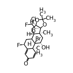 CC1(C)O[C@@H]2C[C@H]3[C@@H]4C[C@H](F)C5=CC(=O)C=C[C@]5(C)[C@@]4(Br)[C@@H](O)C[C@]3(C)[C@]2(C(=O)C(F)Cl)O1